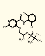 CC(COc1nc(Cl)ncc1C(=O)Nc1c(Cl)cccc1Cl)O[Si](C)(C)C(C)(C)C